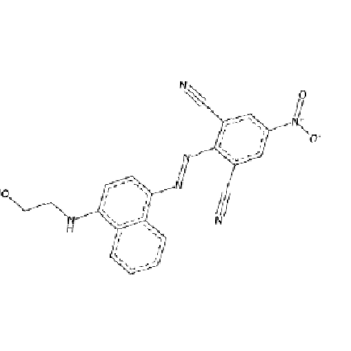 N#Cc1cc([N+](=O)[O-])cc(C#N)c1N=Nc1ccc(NCCO)c2ccccc12